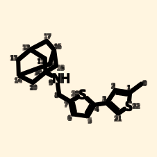 Cc1cc(-c2ccc(CNC34CC5CC(CC(C5)C3)C4)s2)cs1